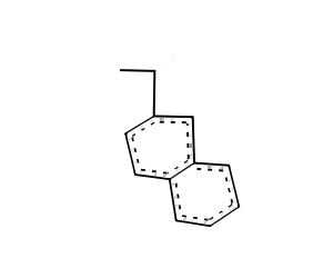 C[C@H](C=O)c1ccc2ccccc2c1